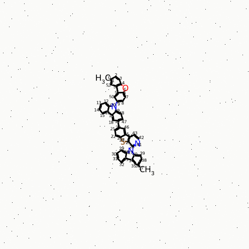 Cc1ccc2oc3ccc(-n4c5ccccc5c5cc(-c6ccc7sc8c(-n9c%10ccccc%10c%10cc(C)ccc%109)nccc8c7c6)ccc54)cc3c2c1